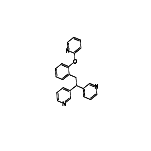 c1ccc(Oc2ccccc2CC(c2cccnc2)c2cccnc2)nc1